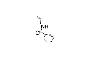 C=CCNC(=O)C1C=CCCC1